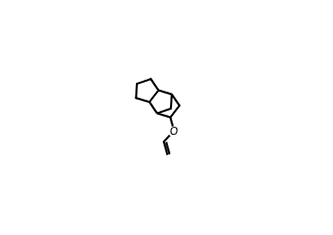 C=COC1CC2CC1C1CCCC21